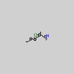 C=CCCc1cccc(-c2cccc(CCc3cc(CC/C(C=C)=C/C(C#N)=C\C)c(C=C)cc3Cl)c2C)c1